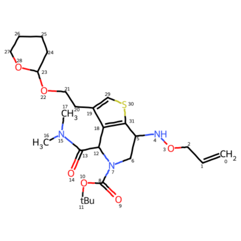 C=CCONC1CN(C(=O)OC(C)(C)C)C(C(=O)N(C)C)c2c(CCOC3CCCCO3)csc21